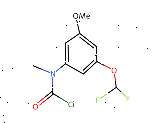 COc1cc(OC(F)F)cc(N(C)C(=O)Cl)c1